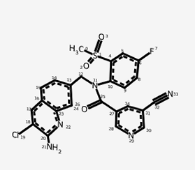 CS(=O)(=O)c1cc(F)ccc1N(Cc1ccc2cc(Cl)c(N)nc2c1)C(=O)c1cncc(C#N)c1